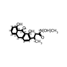 CC(CC(=O)N(C)O)c1ccc2c(c1O)C(=O)c1c(O)cccc1C2